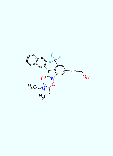 CCNC(CC)ON1C(=O)C(c2ccc3ccccc3c2)c2c1cc(C#CCO)cc2C(F)(F)F